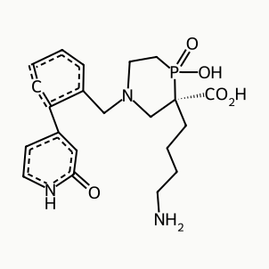 NCCCC[C@@]1(C(=O)O)CN(Cc2ccccc2-c2cc[nH]c(=O)c2)CCP1(=O)O